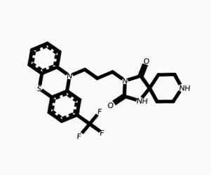 O=C1NC2(CCNCC2)C(=O)N1CCCN1c2ccccc2Sc2ccc(C(F)(F)F)cc21